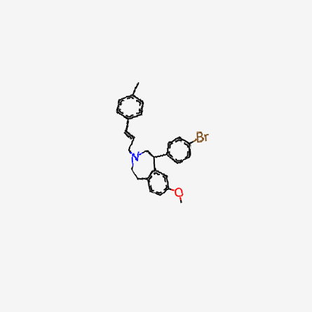 COc1ccc2c(c1)C(c1ccc(Br)cc1)CN(CC=Cc1ccc(C)cc1)CC2